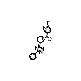 O=C(c1ccc(F)nc1)N1CCCC(n2nnc(-c3ccccc3)n2)C1